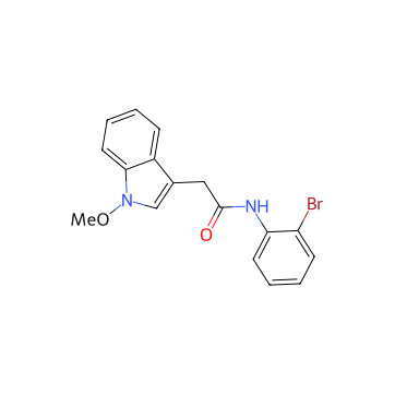 COn1cc(CC(=O)Nc2ccccc2Br)c2ccccc21